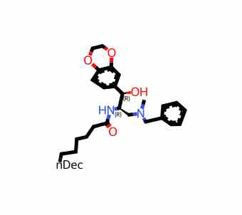 CCCCCCCCCCCCCCCC(=O)N[C@H](CN(C)Cc1ccccc1)[C@H](O)c1ccc2c(c1)OCCO2